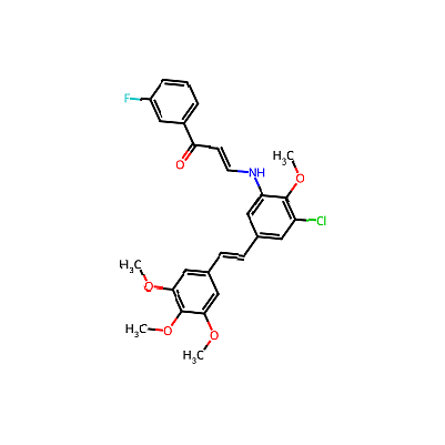 COc1cc(C=Cc2cc(Cl)c(OC)c(NC=CC(=O)c3cccc(F)c3)c2)cc(OC)c1OC